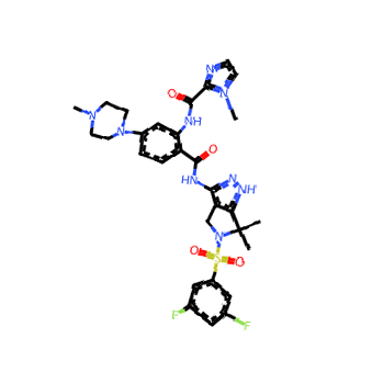 CN1CCN(c2ccc(C(=O)Nc3n[nH]c4c3CN(S(=O)(=O)c3cc(F)cc(F)c3)C4(C)C)c(NC(=O)c3nccn3C)c2)CC1